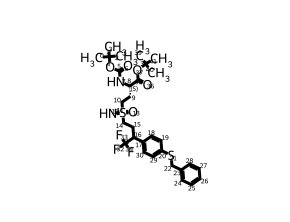 CC(C)(C)OC(=O)N[C@@H](CCS(=N)(=O)CCC(c1ccc(SCc2ccccc2)cc1)C(F)(F)F)C(=O)OC(C)(C)C